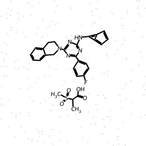 CC(C(=O)O)S(C)(=O)=O.Fc1ccc(-c2nc(Nc3c4cccc3-4)nc(N3CCc4ccccc4C3)n2)cc1